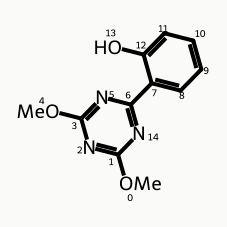 COc1nc(OC)nc(-c2ccccc2O)n1